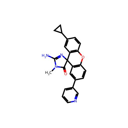 CN1C(=O)C2(N=C1N)c1cc(-c3cccnc3)ccc1Oc1ccc(C3CC3)cc12